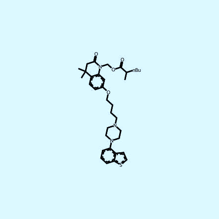 CCCCC(C)C(=O)OCN1C(=O)CC(C)(C)c2ccc(OCCCCN3CCN(c4cccc5sccc45)CC3)cc21